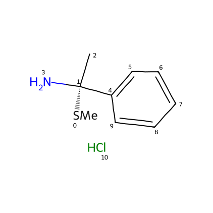 CS[C@@](C)(N)c1ccccc1.Cl